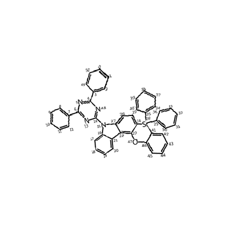 c1ccc(-c2nc(-c3ccccc3)nc(-n3c4ccccc4c4c5c(ccc43)[Si](c3ccccc3)(c3ccccc3)c3ccccc3O5)n2)cc1